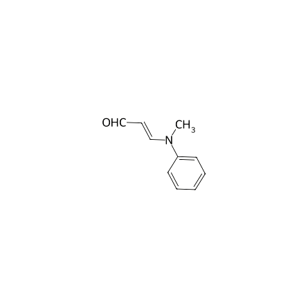 CN(C=CC=O)c1ccccc1